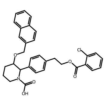 O=C(OCCc1ccc(C2C(OCc3ccc4ccccc4c3)CCCN2C(=O)O)cc1)c1ccccc1Cl